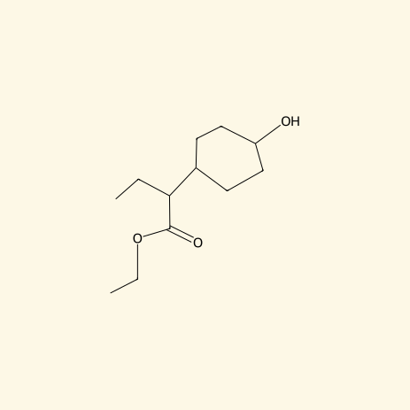 CCOC(=O)C(CC)C1CCC(O)CC1